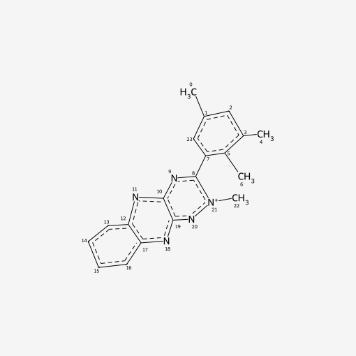 Cc1cc(C)c(C)c(-c2nc3nc4ccccc4nc3n[n+]2C)c1